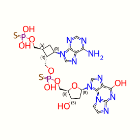 Nc1ncnc2c1ncn2[C@@H]1C[C@H](COP(O)(O)=S)[C@H]1COP(O)(=S)OC[C@H]1O[C@@H](n2cnc3c(O)nc4nccn4c32)C[C@@H]1O